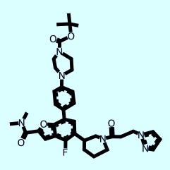 CN(C)C(=O)c1cc2c(F)c(C3CCCN(C(=O)CCn4cccn4)C3)cc(-c3ccc(N4CCN(C(=O)OC(C)(C)C)CC4)cc3)c2o1